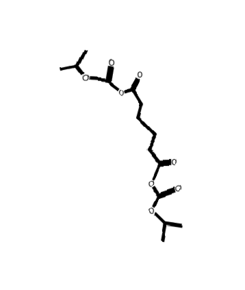 CC(C)OC(=O)OC(=O)CCCCC(=O)OC(=O)OC(C)C